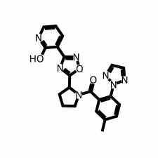 Cc1ccc(-n2nccn2)c(C(=O)N2CCCC2c2nc(-c3cccnc3O)no2)c1